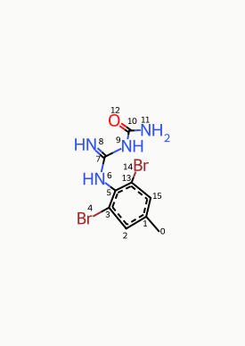 Cc1cc(Br)c(NC(=N)NC(N)=O)c(Br)c1